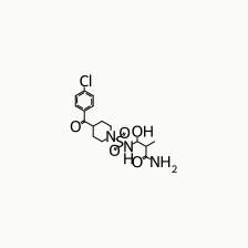 CC(C(N)=O)C(O)NS(=O)(=O)N1CCC(C(=O)c2ccc(Cl)cc2)CC1